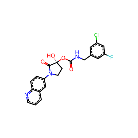 O=C(NCc1cc(F)cc(Cl)c1)O[C@@]1(O)CCN(c2ccc3ncccc3c2)C1=O